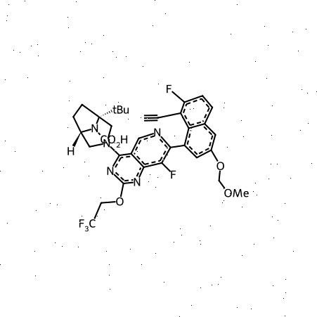 C#Cc1c(F)ccc2cc(OCOC)cc(-c3ncc4c(N5C[C@@H]6CC[C@@](C(C)(C)C)(C5)N6C(=O)O)nc(OCC(F)(F)F)nc4c3F)c12